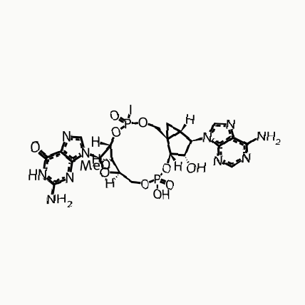 CO[C@H]1[C@H]2OP(=O)(I)OC[C@@]34C[C@@H]3[C@@H](n3cnc5c(N)ncnc53)[C@H](O)[C@@H]4OP(=O)(O)OC[C@H]1O[C@H]2n1cnc2c(=O)[nH]c(N)nc21